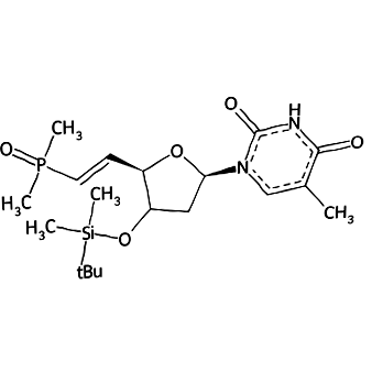 Cc1cn([C@H]2CC(O[Si](C)(C)C(C)(C)C)[C@@H](/C=C/P(C)(C)=O)O2)c(=O)[nH]c1=O